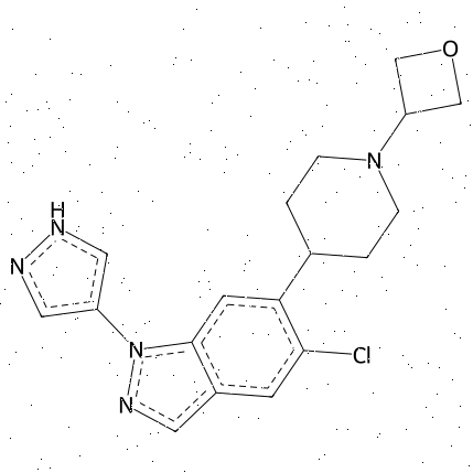 Clc1cc2cnn(-c3cn[nH]c3)c2cc1C1CCN(C2COC2)CC1